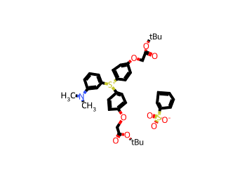 CN(C)c1cccc([S+](c2ccc(OCC(=O)OC(C)(C)C)cc2)c2ccc(OCC(=O)OC(C)(C)C)cc2)c1.O=S(=O)([O-])c1ccccc1